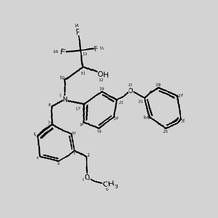 COCc1cccc(CN(CC(O)C(F)(F)F)c2cccc(Oc3ccccc3)c2)c1